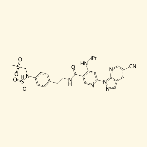 CC(C)Nc1cc(-n2ncc3cc(C#N)cnc32)ncc1C(=O)NCCc1ccc(N(CS(C)(=O)=O)[SH](=O)=O)cc1